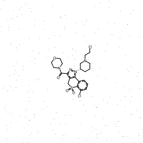 O=C(c1nn([C@H]2CCCN(CCCl)C2)c2c1CS(=O)(=O)c1c(Cl)cccc1-2)N1CCOCC1